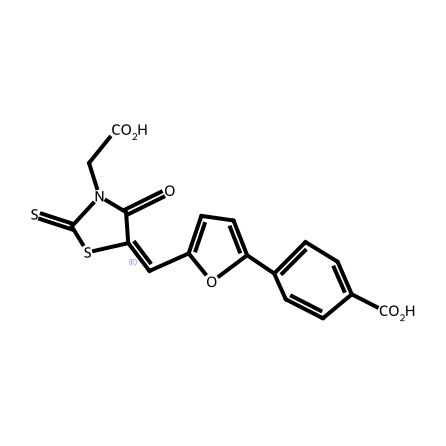 O=C(O)CN1C(=O)/C(=C\c2ccc(-c3ccc(C(=O)O)cc3)o2)SC1=S